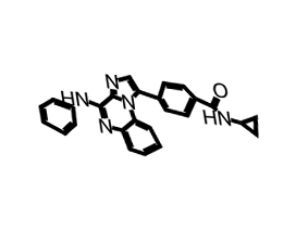 O=C(NC1CC1)c1ccc(-c2cnc3c(Nc4ccccc4)nc4ccccc4n23)cc1